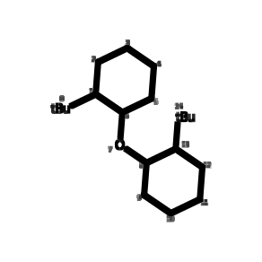 CC(C)(C)C1CCCCC1OC1CCCCC1C(C)(C)C